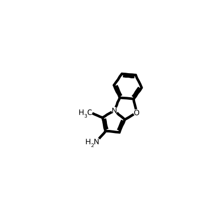 Cc1c(N)cc2oc3ccccc3n12